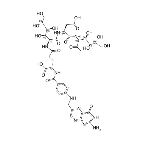 CC(=O)[C@@H](NC(=O)[C@H](CC(=O)O)NC(=O)[C@@H](NC(=O)CC[C@H](NC(=O)c1ccc(NCc2cnc3nc(N)[nH]c(=O)c3n2)cc1)C(=O)O)[C@@H](O)[C@H](O)[C@H](O)CO)[C@@H](O)[C@H](O)[C@H](O)CO